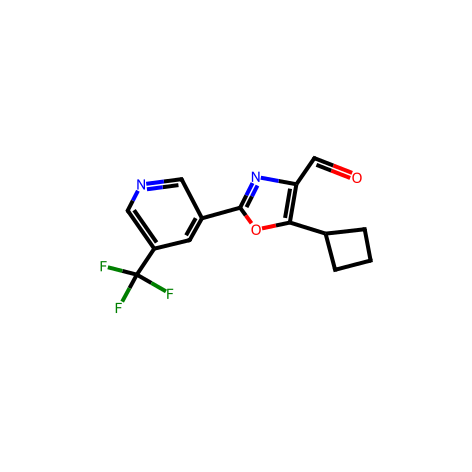 O=Cc1nc(-c2cncc(C(F)(F)F)c2)oc1C1CCC1